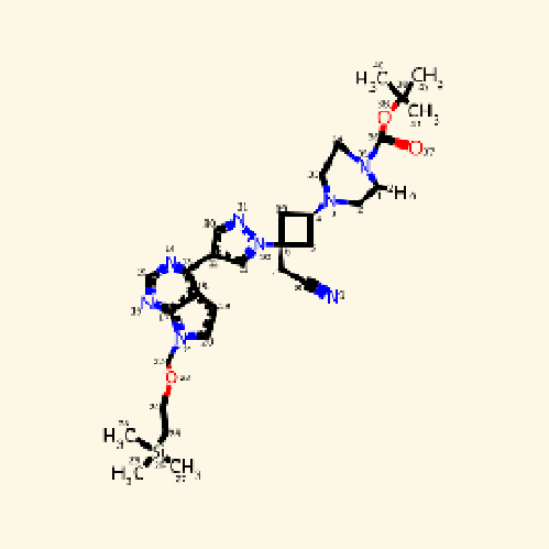 [2H]C1CN([C@H]2C[C@](CC#N)(n3cc(-c4ncnc5c4ccn5COCC[Si](C)(C)C)cn3)C2)CCN1C(=O)OC(C)(C)C